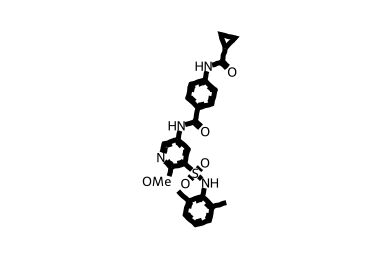 COc1ncc(NC(=O)c2ccc(NC(=O)C3CC3)cc2)cc1S(=O)(=O)Nc1c(C)cccc1C